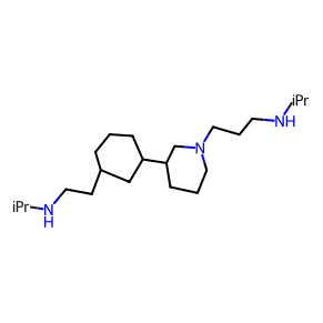 CC(C)NCCCN1CCCC(C2CCCC(CCNC(C)C)C2)C1